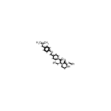 CC(C)C[C@@H]1NCCN([C@@H](CC(C)C)C(=O)N2CCC(COc3ccc(CN(C)C)cc3)CC2)C1=O